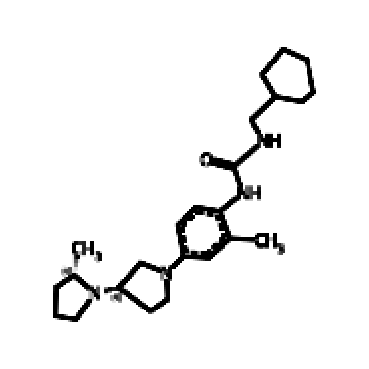 Cc1cc(N2CC[C@H](N3CCC[C@@H]3C)C2)ccc1NC(=O)NCC1CCCCC1